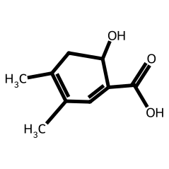 CC1=C(C)CC(O)C(C(=O)O)=C1